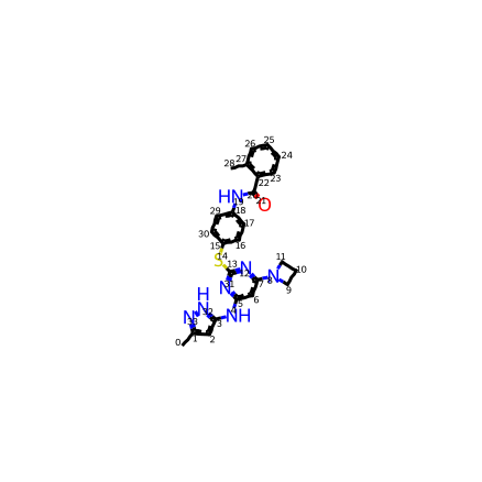 Cc1cc(Nc2cc(N3CCC3)nc(Sc3ccc(NC(=O)c4ccccc4C)cc3)n2)[nH]n1